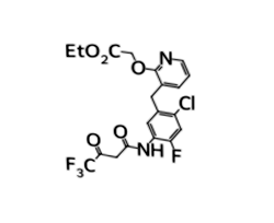 CCOC(=O)COc1ncccc1Cc1cc(NC(=O)CC(=O)C(F)(F)F)c(F)cc1Cl